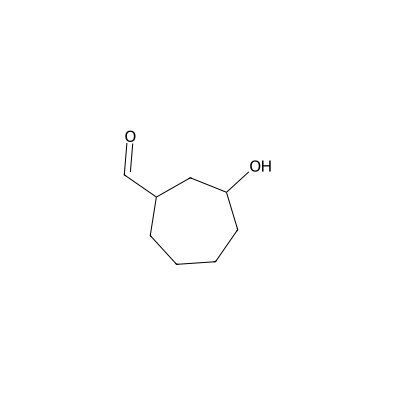 O=CC1CCCCC(O)C1